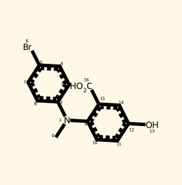 CN(c1ccc(Br)cc1)c1ccc(O)cc1C(=O)O